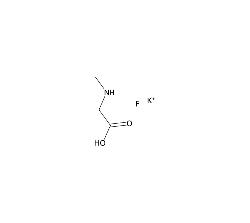 CNCC(=O)O.[F-].[K+]